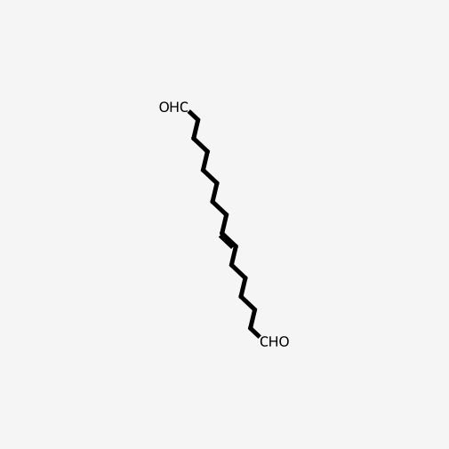 O=CCCCCCC=CCCCCCCCC=O